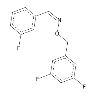 Fc1cccc(/[C]=N\OCc2cc(F)cc(F)c2)c1